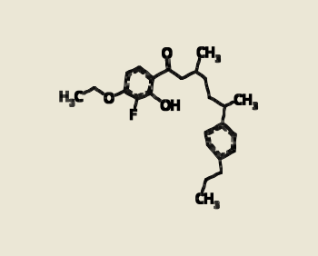 CCCc1ccc(C(C)CCC(C)CC(=O)c2ccc(OCC)c(F)c2O)cc1